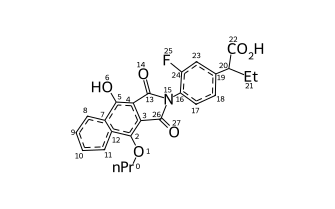 CCCOc1c2c(c(O)c3ccccc13)C(=O)N(c1ccc(C(CC)C(=O)O)cc1F)C2=O